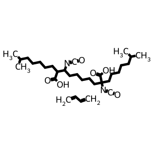 C=CC=C.CC(C)CCCCCC(C(=O)O)C(CCCCCC(CCCCCC(C)C)(N=C=O)C(=O)O)N=C=O